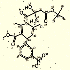 COC(=O)C1=C(C)N(C(=O)C(N)(O)CC(=O)OC(C)(C)C)C(C)=CC1c1cccc([N+](=O)[O-])c1